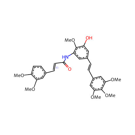 COc1ccc(/C=C/C(=O)Nc2cc(C=Cc3cc(OC)c(OC)c(OC)c3)cc(O)c2OC)cc1OC